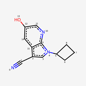 N#Cc1cn(C2CCC2)c2ncc(O)cc12